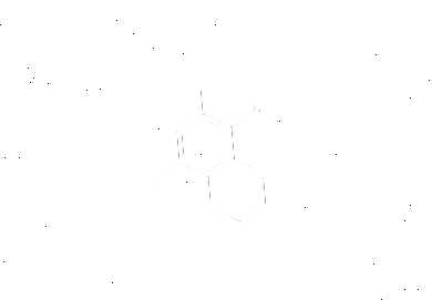 Cc1cc(O)c(N)c2c1OCCO2